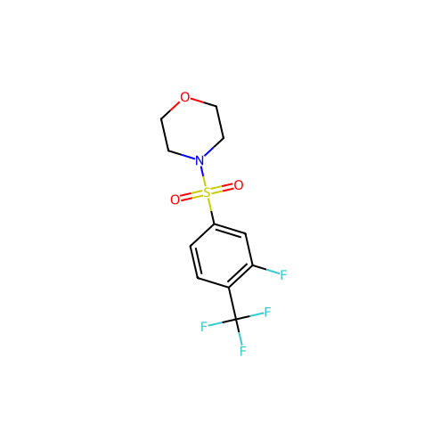 O=S(=O)(c1ccc(C(F)(F)F)c(F)c1)N1CCOCC1